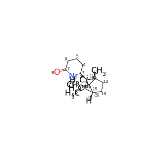 CC1=C(C2CCCC(=O)N2C)[C@]2(C)CC[C@H]1C2(C)C